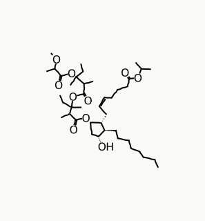 CCCCCCCC[C@@H]1[C@@H](C/C=C\CCCC(=O)OC(C)C)[C@@H](OC(=O)C(C)C(C)(CC)OC(=O)C(C)C(C)(CC)OC(=O)C(C)OC)C[C@H]1O